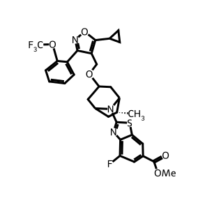 COC(=O)c1cc(F)c2nc(N3C4CC(OCc5c(-c6ccccc6OC(F)(F)F)noc5C5CC5)CC3[C@H](C)C4)sc2c1